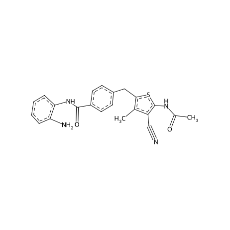 CC(=O)Nc1sc(Cc2ccc(C(=O)Nc3ccccc3N)cc2)c(C)c1C#N